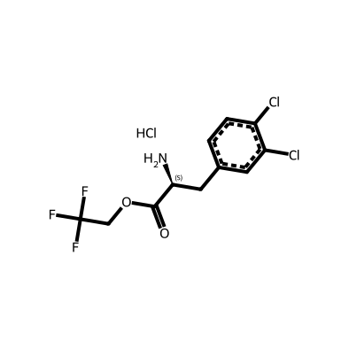 Cl.N[C@@H](Cc1ccc(Cl)c(Cl)c1)C(=O)OCC(F)(F)F